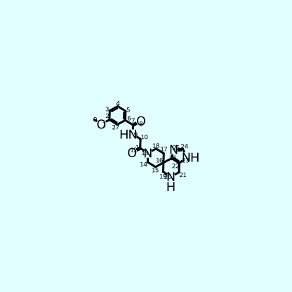 COc1cccc(C(=O)NCC(=O)N2CCC3(CC2)CNCc2[nH]cnc23)c1